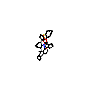 CC1(C)c2ccccc2-c2cccc(N(c3ccc4c(c3)sc3ccccc34)c3ccccc3-c3cccc4oc5c6ccccc6ccc5c34)c21